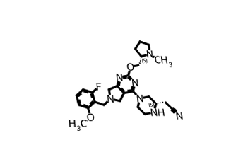 COc1cccc(F)c1CN1Cc2nc(OC[C@@H]3CCCN3C)nc(N3CCN[C@@H](CC#N)C3)c2C1